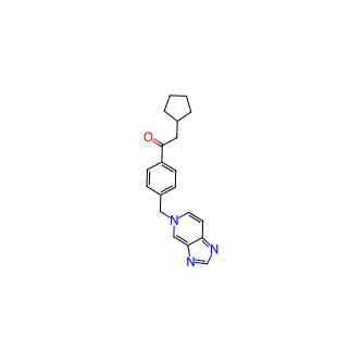 O=C(CC1CCCC1)c1ccc(Cn2ccc3ncnc-3c2)cc1